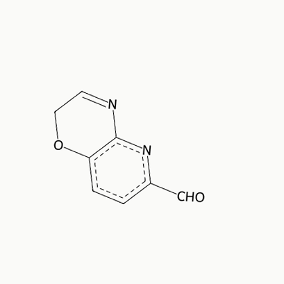 O=Cc1ccc2c(n1)N=CCO2